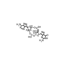 Nc1nc2c(nnn2[C@@H]2SC3OC(O)OC[C@H]4[C@H](F)[C@H](n5nnc6c(N)ncnc65)O[C@@H]4COP(S)O[C@@H]2[C@@H]3O)c(=O)[nH]1